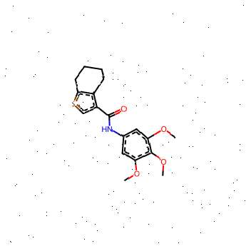 COc1cc(NC(=O)c2csc3c2CCCC3)cc(OC)c1OC